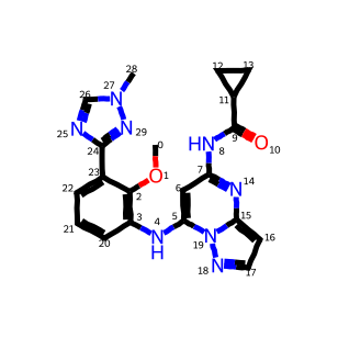 COc1c(Nc2cc(NC(=O)C3CC3)nc3ccnn23)cccc1-c1ncn(C)n1